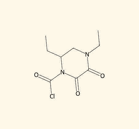 CCC1CN(CC)C(=O)C(=O)N1C(=O)Cl